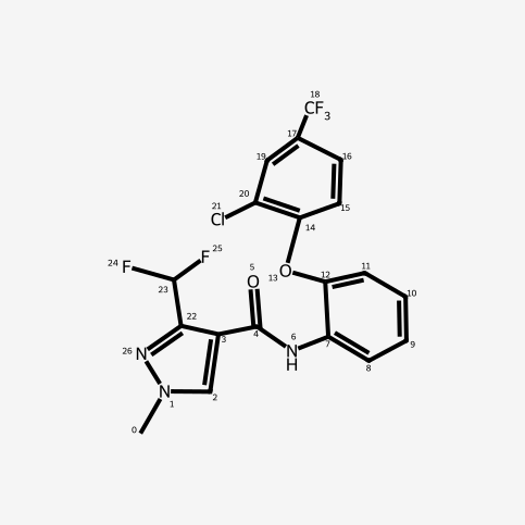 Cn1cc(C(=O)Nc2ccccc2Oc2ccc(C(F)(F)F)cc2Cl)c(C(F)F)n1